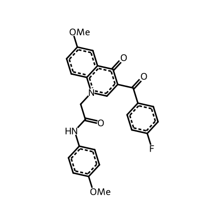 COc1ccc(NC(=O)Cn2cc(C(=O)c3ccc(F)cc3)c(=O)c3cc(OC)ccc32)cc1